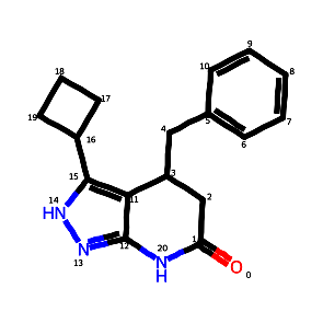 O=C1CC(Cc2ccccc2)c2c(n[nH]c2C2CCC2)N1